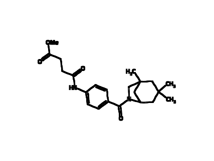 COC(=O)CCC(=O)Nc1ccc(C(=O)N2CC3(C)CC2CC(C)(C)C3)cc1